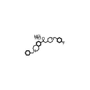 Cl.Cl.O=C(CC1CCN(Cc2ccc(F)cc2)CC1)c1ccc2c(c1)CCN(Cc1ccccc1)CC2